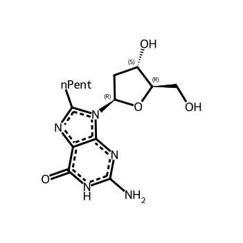 CCCCCc1nc2c(=O)[nH]c(N)nc2n1[C@H]1C[C@H](O)[C@@H](CO)O1